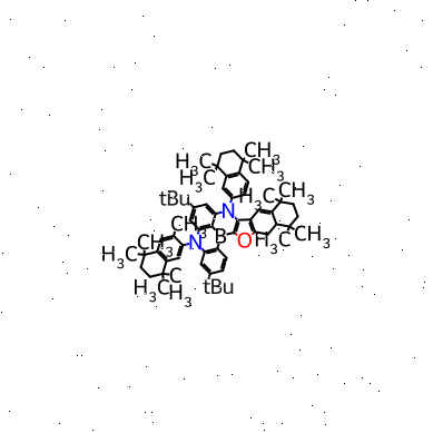 Cc1cc2c(cc1N1c3cc(C(C)(C)C)ccc3B3c4oc5c(c4N(c4ccc6c(c4)C(C)(C)CCC6(C)C)c4cc(C(C)(C)C)cc1c43)C=C1C(C5)C(C)(C)CCC1(C)C)C(C)(C)CCC2(C)C